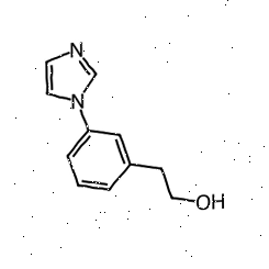 OCCc1cccc(-n2ccnc2)c1